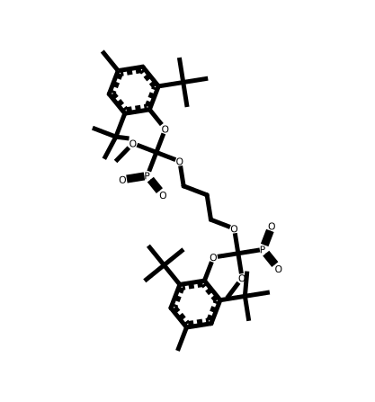 COC(OCCCOC(OC)(Oc1c(C(C)(C)C)cc(C)cc1C(C)(C)C)P(=O)=O)(Oc1c(C(C)(C)C)cc(C)cc1C(C)(C)C)P(=O)=O